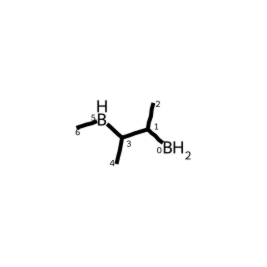 BC(C)C(C)BC